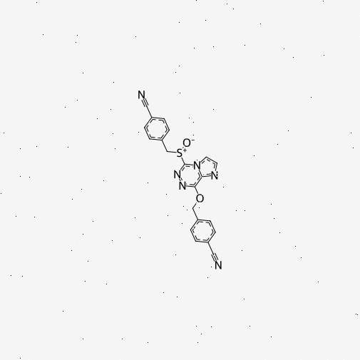 N#Cc1ccc(COc2nnc([S+]([O-])Cc3ccc(C#N)cc3)n3ccnc23)cc1